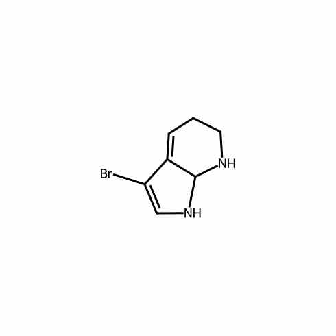 BrC1=CNC2NCCC=C12